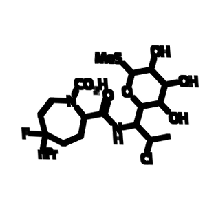 CCCC1(F)CCC(C(=O)NC(C(C)Cl)C2OC(SC)C(O)C(O)C2O)N(C(=O)O)CC1